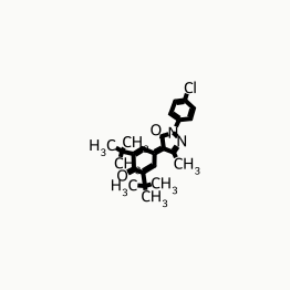 CC1=NN(c2ccc(Cl)cc2)C(=O)C1=C1C=C(C(C)(C)C)C(=O)C(C(C)(C)C)=C1